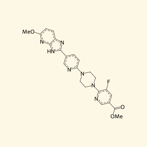 COC(=O)c1cnc(N2CCN(c3ccc(-c4nc5ccc(OC)nc5[nH]4)cn3)CC2)c(F)c1